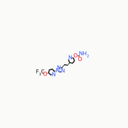 NC(=O)Oc1ccc(C=Cc2ncn(-c3ccc(OC(F)(F)F)cn3)n2)cn1